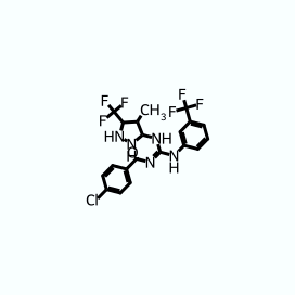 CC1C(N/C(=N\C(=O)c2ccc(Cl)cc2)Nc2cccc(C(F)(F)F)c2)NNC1C(F)(F)F